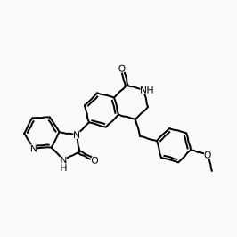 COc1ccc(CC2CNC(=O)c3ccc(-n4c(=O)[nH]c5ncccc54)cc32)cc1